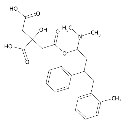 Cc1ccccc1CC(CC(OC(=O)CC(O)(CC(=O)O)C(=O)O)N(C)C)c1ccccc1